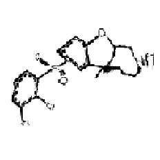 CC12CCNCC1Oc1ccc(S(=O)(=O)c3cccc(Cl)c3Cl)cc12